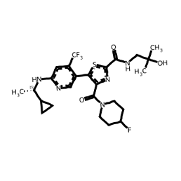 C[C@H](Nc1cc(C(F)(F)F)c(-c2sc(C(=O)NCC(C)(C)O)nc2C(=O)N2CCC(F)CC2)cn1)C1CC1